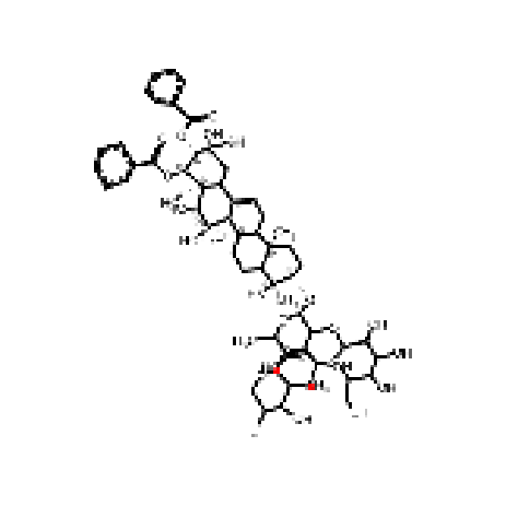 CC(OC(O[C@H]1CC[C@]2(C)C3CC=C4C([C@@H](O)[C@@H](O)[C@]5(CO)C4C[C@](O)(S)[C@@H](OC(=O)c4ccccc4)[C@@H]5OC(=O)c4ccccc4)[C@]3(C)CCC2[C@]1(C)S)C(OC1OC(CO)C(O)C(O)C1O)C(OC1OCC(O)C(O)C1O)C(C)O)C(=O)O